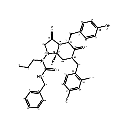 CCCN(C(=O)NCc1ccccc1)N1CC(=O)N2[C@@H](Cc3ccc(O)cc3)C(=O)N(Cc3ccc(F)cc3F)C[C@@H]21